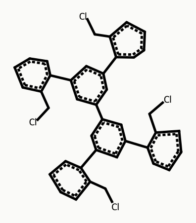 ClCc1ccccc1-c1cc(-c2cc(-c3ccccc3CCl)cc(-c3ccccc3CCl)c2)cc(-c2ccccc2CCl)c1